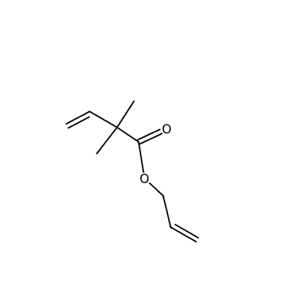 C=CCOC(=O)C(C)(C)C=C